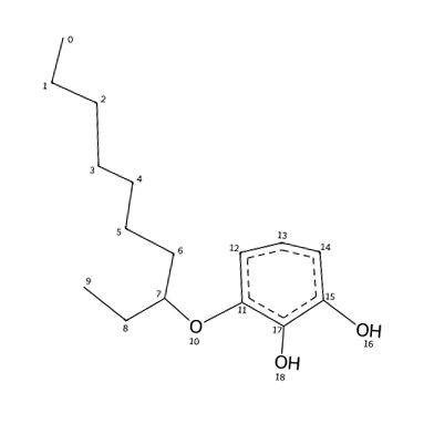 CCCCCCCC(CC)Oc1cccc(O)c1O